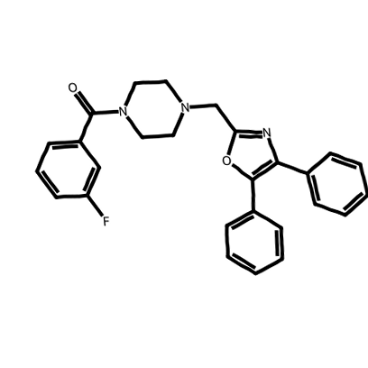 O=C(c1cccc(F)c1)N1CCN(Cc2nc(-c3ccccc3)c(-c3ccccc3)o2)CC1